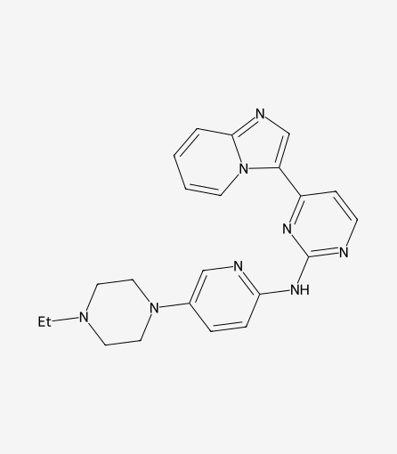 CCN1CCN(c2ccc(Nc3nccc(-c4cnc5ccccn45)n3)nc2)CC1